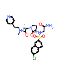 C[C@@H](C(=O)N(C)CCc1ccncc1)N1CC[C@H](N(CC(N)=O)S(=O)(=O)c2ccc3cc(Cl)ccc3c2)C1=O